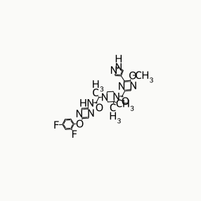 COc1ncc(C(=O)N2CCN([C@@H](C)C(=O)Nc3cnc(Oc4ccc(F)cc4F)cn3)CC2(C)C)nc1-c1cn[nH]c1